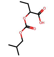 CCC(OC(=O)OCC(C)C)C(=O)O